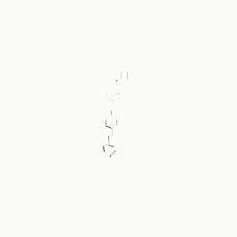 CCC[C@H]1CC[C@H](CCC2CC=C(CCc3ccc(F)cc3)CC2)CC1